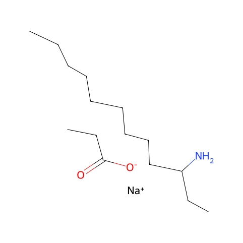 CCC(=O)[O-].CCCCCCCCCC(N)CC.[Na+]